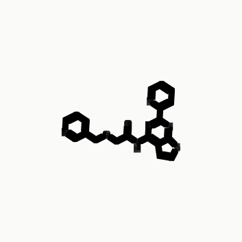 O=C(COCc1cccnc1)Nc1nc(-c2ccccn2)nc2sccc12